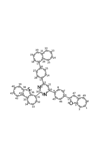 c1ccc2oc(-c3ccc(-c4cc(-c5ccc(-c6cccc7ccccc67)cc5)nc(-c5cccc6c5sc5ccccc56)n4)cc3)cc2c1